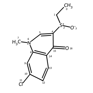 CC[S+]([O-])c1cn(C)c2cc(Cl)ccc2c1=O